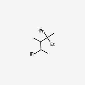 CCC(C)([C](C)C)C(C)C(C)C(C)C